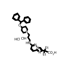 CCC(CC)(C(=O)O)c1cn2nc(NCCCN3CCC(OC(c4ccccc4)c4ccccc4)CC3)ccc2n1.Cl.Cl